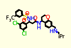 CC(C)CNCc1ccc2c(c1)OCCC2NC(=O)CC(NS(=O)(=O)c1cccc(C(F)(F)F)c1)c1cc(Cl)cc(Cl)c1